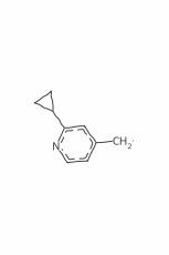 [CH2]c1ccnc(C2CC2)c1